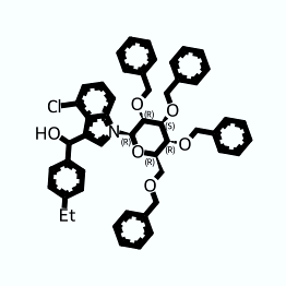 CCc1ccc(C(O)c2cn([C@@H]3O[C@H](COCc4ccccc4)[C@@H](OCc4ccccc4)[C@H](OCc4ccccc4)[C@H]3OCc3ccccc3)c3cccc(Cl)c23)cc1